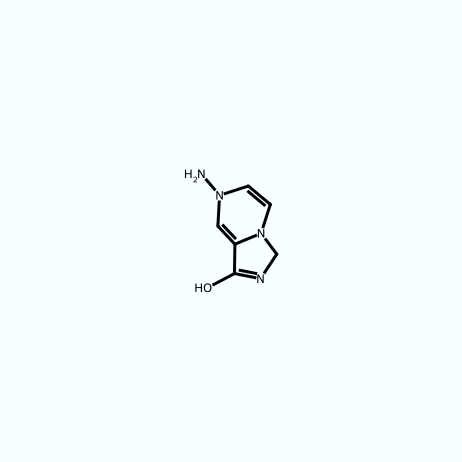 NN1C=CN2CN=C(O)C2=C1